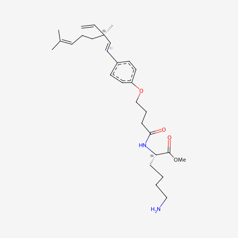 C=C[C@@](C)(/C=C/c1ccc(OCCCC(=O)N[C@@H](CCCCN)C(=O)OC)cc1)CCC=C(C)C